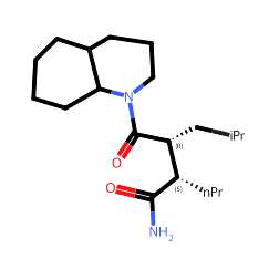 CCC[C@H](C(N)=O)[C@@H](CC(C)C)C(=O)N1CCCC2CCCCC21